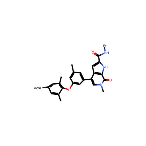 CCNC(=O)c1cc2c(-c3cc(C)cc(Oc4c(C)cc(NC(C)=O)cc4C)c3)cn(C)c(=O)c2[nH]1